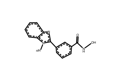 CCCn1c(-c2cccc(C(=O)NO)c2)nc2ccccc21